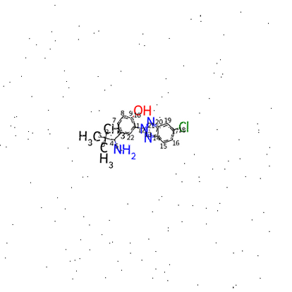 CC(C)(C)C(N)c1ccc(O)c(-n2nc3ccc(Cl)cc3n2)c1